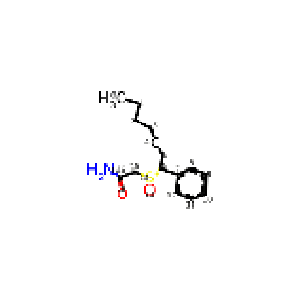 CCCCCCC(c1ccccc1)[S+]([O-])CC(N)=O